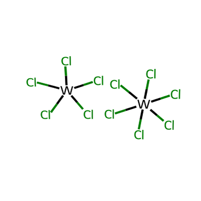 [Cl][W]([Cl])([Cl])([Cl])([Cl])[Cl].[Cl][W]([Cl])([Cl])([Cl])[Cl]